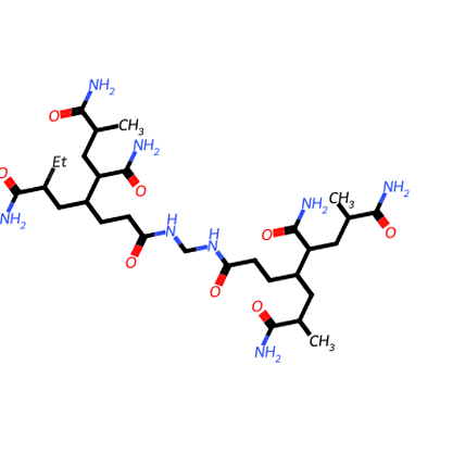 CCC(CC(CCC(=O)NCNC(=O)CCC(CC(C)C(N)=O)C(CC(C)C(N)=O)C(N)=O)C(CC(C)C(N)=O)C(N)=O)C(N)=O